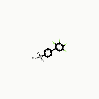 CC[Si](CC)(OC)c1ccc(-c2cc(F)c(F)c(F)c2F)cc1